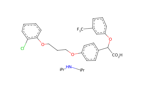 CC(C)NC(C)C.O=C(O)C(Oc1cccc(C(F)(F)F)c1)c1ccc(OCCCOc2ccccc2Cl)cc1